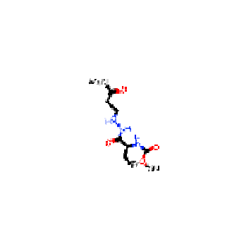 CNC(=O)CCNNC(=O)C(CC(C)C)NC(=O)OC(C)(C)C